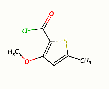 COc1cc(C)sc1C(=O)Cl